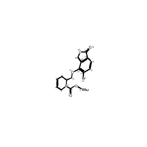 CC(C)(C)OC(=O)N1CC=CCC1COc1c(Br)ccc2c1COC2=O